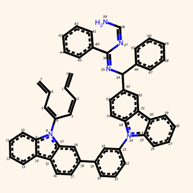 C=C/C=C\C(=C/C=C)n1c2ccccc2c2ccc(-c3cccc(-n4c5ccccc5c5cc(C(/N=C(\N=C/N)c6ccccc6)c6ccccc6)ccc54)c3)cc21